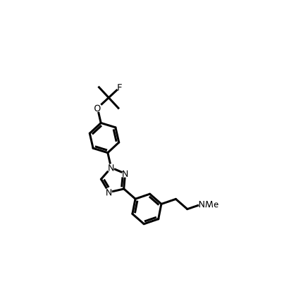 CNCCc1cccc(-c2ncn(-c3ccc(OC(C)(C)F)cc3)n2)c1